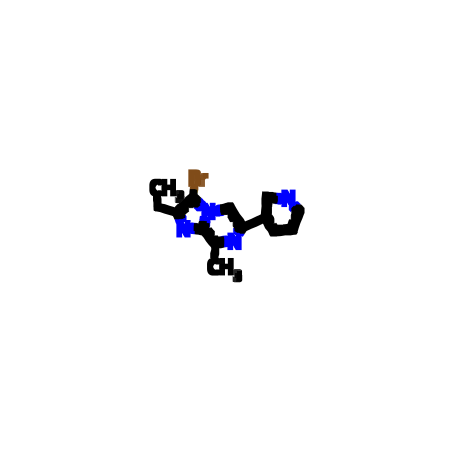 CCc1nc2c(C)nc(-c3cccnc3)cn2c1Br